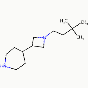 CC(C)(C)CCN1CC(C2CCNCC2)C1